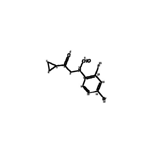 O=CN(CC(=O)C1CC1)c1ccc(Br)cc1F